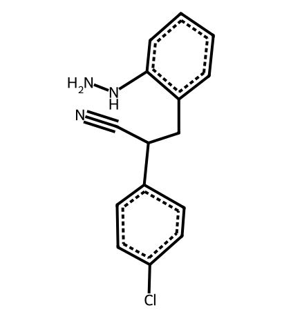 N#CC(Cc1ccccc1NN)c1ccc(Cl)cc1